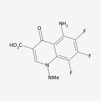 CNn1cc(C(=O)O)c(=O)c2c(N)c(F)c(F)c(F)c21